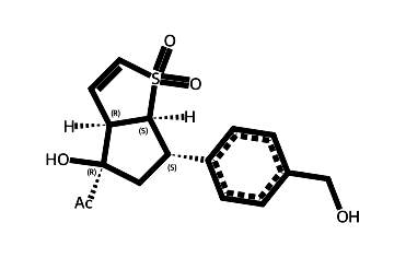 CC(=O)[C@@]1(O)C[C@@H](c2ccc(CO)cc2)[C@H]2[C@@H]1C=CS2(=O)=O